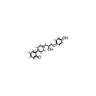 Oc1ccc(OCC(O)CN2CCN(c3ccccc3Cl)CC2)cc1